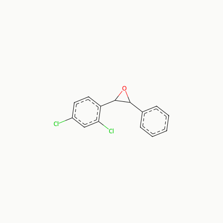 Clc1ccc(C2OC2c2ccccc2)c(Cl)c1